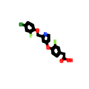 O=C(O)Cc1ccc(Oc2ccnc(COc3ccc(Cl)cc3F)c2)c(F)c1